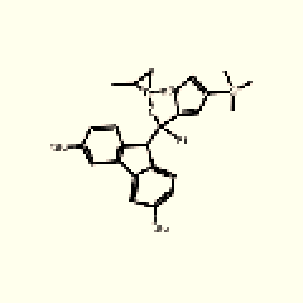 CCC[CH2][Ti]1([CH2]C(CC)(C2=CC([Si](C)(C)C)=CC2)C2c3ccc(C(C)(C)C)cc3-c3cc(C(C)(C)C)ccc32)[CH2][CH]1C